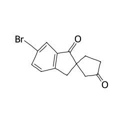 O=C1CCC2(C1)Cc1ccc(Br)cc1C2=O